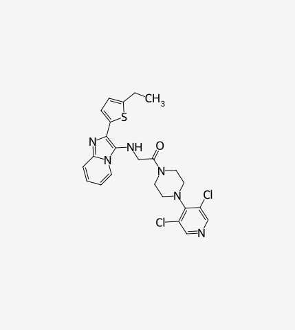 CCc1ccc(-c2nc3ccccn3c2NCC(=O)N2CCN(c3c(Cl)cncc3Cl)CC2)s1